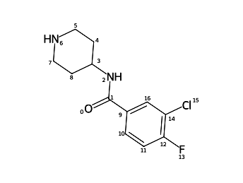 O=C(NC1CCNCC1)c1ccc(F)c(Cl)c1